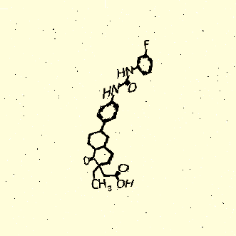 CCC1(CC(=O)O)CCC2CC(c3ccc(NC(=O)Nc4cccc(F)c4)cc3)CCC2C1=O